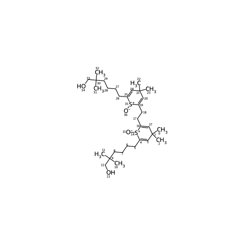 CC1(C)C=C(CCCCC(C)(C)CO)[S+]([O-])C(CCC2=CC(C)(C)C=C(CCCCC(C)(C)CO)[S+]2[O-])=C1